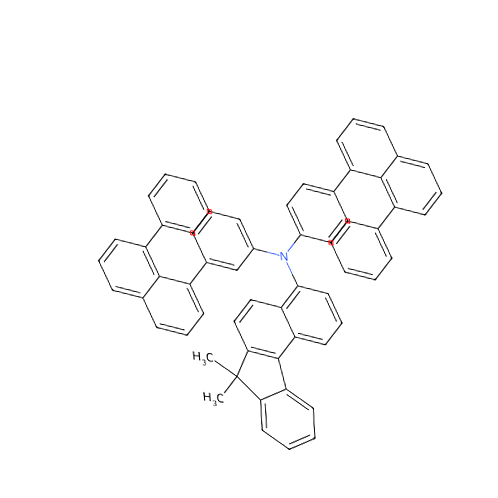 CC1(C)c2ccccc2-c2c1ccc1c(N(c3ccc(-c4cccc5cccc(-c6ccccc6)c45)cc3)c3cccc(-c4cccc5cccc(-c6ccccc6)c45)c3)cccc21